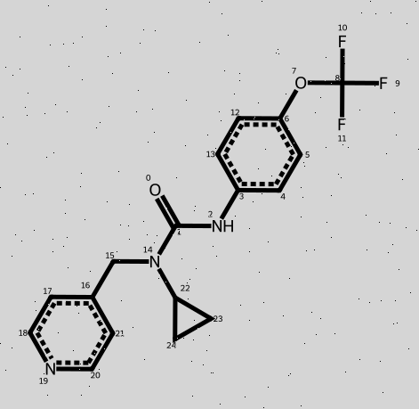 O=C(Nc1ccc(OC(F)(F)F)cc1)N(Cc1ccncc1)C1CC1